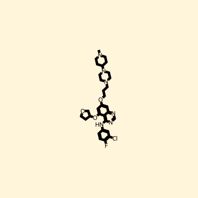 CN1CCC(N2CCN(CCCOc3cc(OC4CCOC4)c4c(Nc5ccc(F)c(Cl)c5)ncnc4c3)CC2)CC1